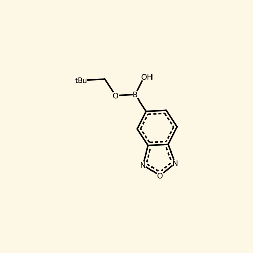 CC(C)(C)COB(O)c1ccc2nonc2c1